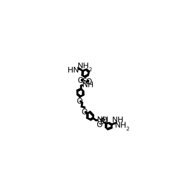 N=C(N)c1cccc(S(=O)(=O)NCc2ccc(OCCCOc3ccc(CNS(=O)(=O)c4cccc(C(=N)N)c4)cc3)cc2)c1